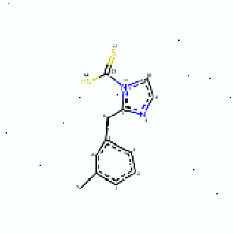 Cc1cccc(Cc2nccn2C(=S)S)c1